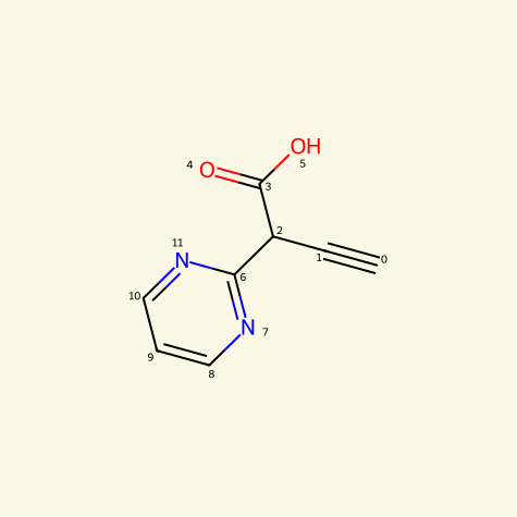 C#CC(C(=O)O)c1ncccn1